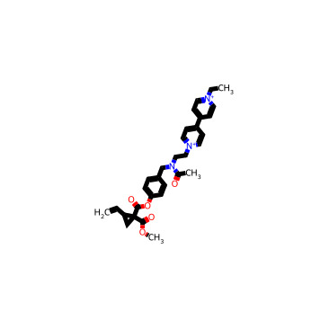 C=CC1CC1(C(=O)OC)C(=O)Oc1ccc(CN(CC[n+]2ccc(-c3cc[n+](CC)cc3)cc2)C(C)=O)cc1